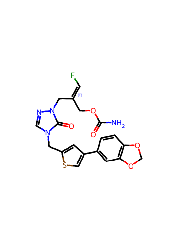 NC(=O)OC/C(=C/F)Cn1ncn(Cc2cc(-c3ccc4c(c3)OCO4)cs2)c1=O